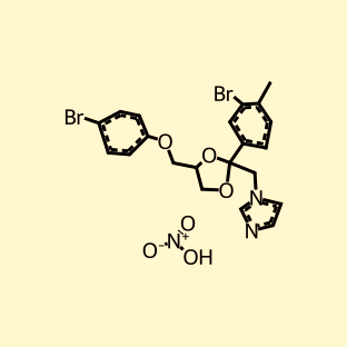 Cc1ccc(C2(Cn3ccnc3)OCC(COc3ccc(Br)cc3)O2)cc1Br.O=[N+]([O-])O